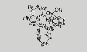 O=C(O)[C@H]1C2CCC(CC2)[C@@H]1Nc1nc(-c2c[nH]c3c(F)cc(F)cc23)nc2ncccc12